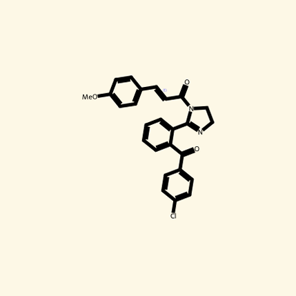 COc1ccc(/C=C/C(=O)N2CCN=C2c2ccccc2C(=O)c2ccc(Cl)cc2)cc1